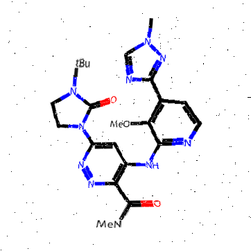 CNC(=O)c1nnc(N2CCN(C(C)(C)C)C2=O)cc1Nc1nccc(-c2ncn(C)n2)c1OC